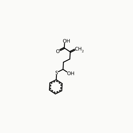 C=C(CCC(O)Sc1ccccc1)C(=O)O